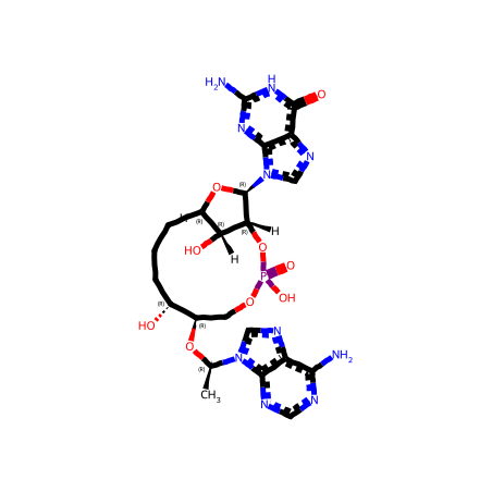 C[C@@H](O[C@@H]1COP(=O)(O)O[C@@H]2[C@H](O)[C@@H](CCC[C@H]1O)O[C@H]2n1cnc2c(=O)[nH]c(N)nc21)n1cnc2c(N)ncnc21